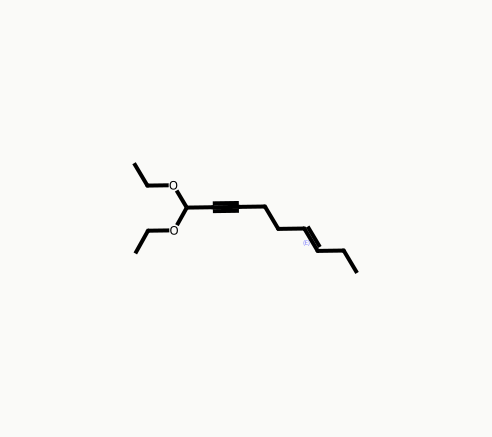 CC/C=C/CCC#CC(OCC)OCC